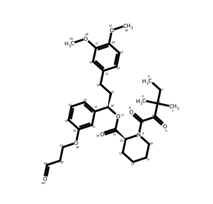 CCC(C)(C)C(=O)C(=O)N1CCCC[C@H]1C(=O)O[C@H](CCc1ccc(OC)c(OC)c1)c1cccc(OCCC=O)c1